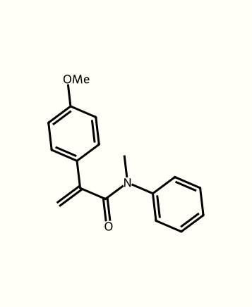 C=C(C(=O)N(C)c1ccccc1)c1ccc(OC)cc1